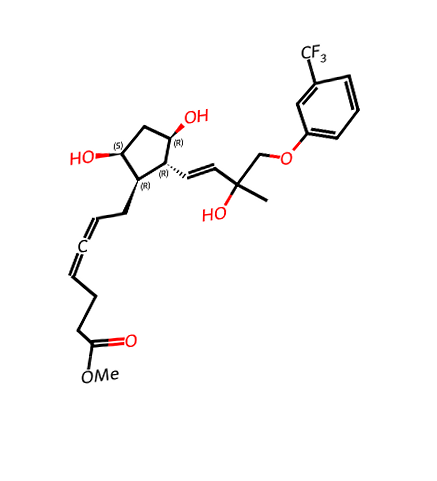 COC(=O)CCC=C=CC[C@@H]1[C@@H](C=CC(C)(O)COc2cccc(C(F)(F)F)c2)[C@H](O)C[C@@H]1O